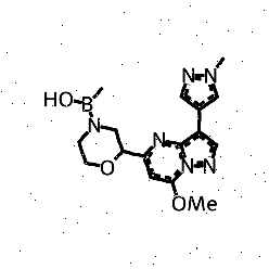 COc1cc(C2CN(B(C)O)CCO2)nc2c(-c3cnn(C)c3)cnn12